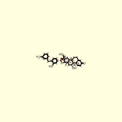 C[C@]12C=CC(=O)C=C1CC[C@@H]1[C@@H]2[C@@H](O)C[C@@]2(C)[C@H]1C[C@H]1O[C@@H](c3ccc(Cc4cccc(N)c4)c(O)c3)O[C@]12C(=O)CO